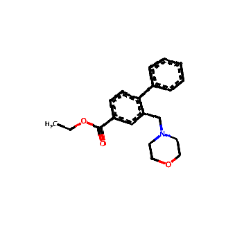 CCOC(=O)c1ccc(-c2ccccc2)c(CN2CCOCC2)c1